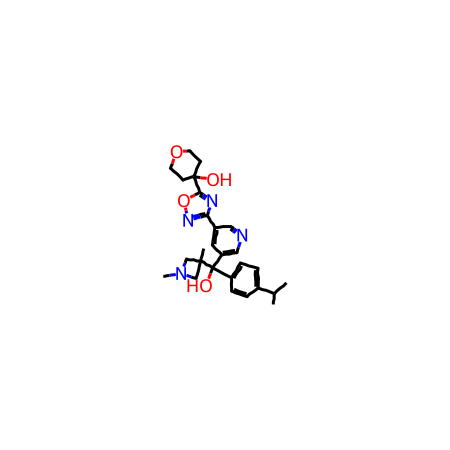 CC(C)c1ccc(C(O)(c2cncc(-c3noc(C4(O)CCOCC4)n3)c2)C2(C)CN(C)C2)cc1